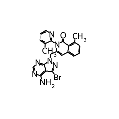 Cc1cccnc1-n1c(Cn2nc(Br)c3c(N)ncnc32)cc2cccc(C)c2c1=O